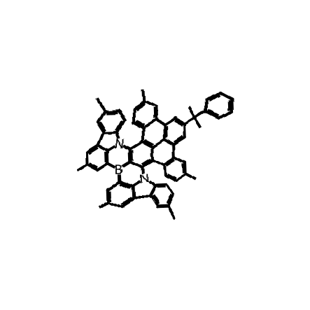 Cc1ccc2c(c1)c1cc(C(C)(C)c3ccccc3)cc3c4cc(C)ccc4c4c5c6c(c2c4c13)-n1c2ccc(C)cc2c2cc(C)cc(c21)B6c1cc(C)cc2c3cc(C)ccc3n-5c12